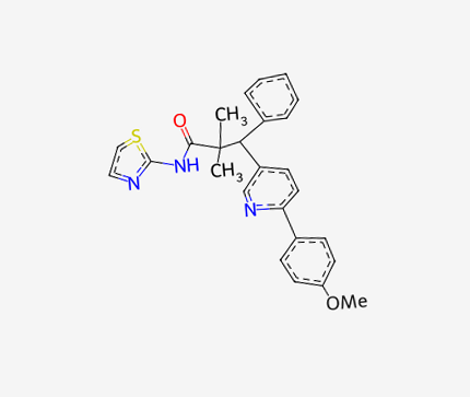 COc1ccc(-c2ccc(C(c3ccccc3)C(C)(C)C(=O)Nc3nccs3)cn2)cc1